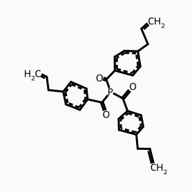 C=CCc1ccc(C(=O)P(C(=O)c2ccc(CC=C)cc2)C(=O)c2ccc(CC=C)cc2)cc1